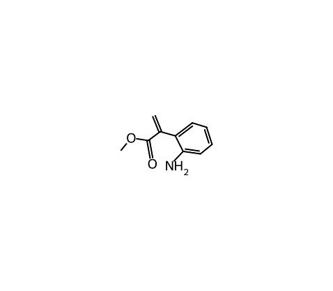 C=C(C(=O)OC)c1ccccc1N